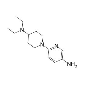 CCN(CC)C1CCN(c2ccc(N)cn2)CC1